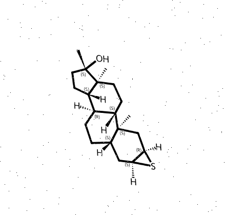 C[C@]12C[C@H]3S[C@H]3C[C@@H]1CC[C@@H]1[C@@H]2CC[C@@]2(C)[C@H]1CC[C@]2(C)O